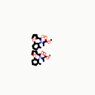 COC(=O)C(C)N(C(=O)c1ccco1)c1c(C)cccc1C.COC(=O)C(C)N(C(=O)c1ccco1)c1c(C)cccc1C